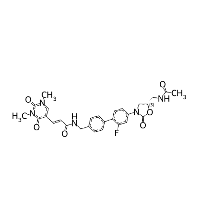 CC(=O)NC[C@H]1CN(c2ccc(-c3ccc(CNC(=O)C=Cc4cn(C)c(=O)n(C)c4=O)cc3)c(F)c2)C(=O)O1